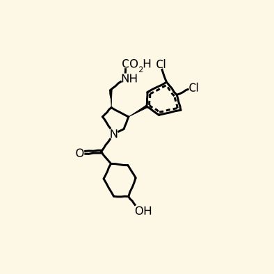 O=C(O)NC[C@@H]1CN(C(=O)C2CCC(O)CC2)C[C@@H]1c1ccc(Cl)c(Cl)c1